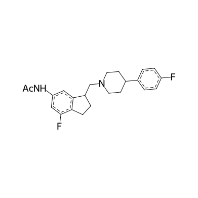 CC(=O)Nc1cc(F)c2c(c1)C(CN1CCC(c3ccc(F)cc3)CC1)CC2